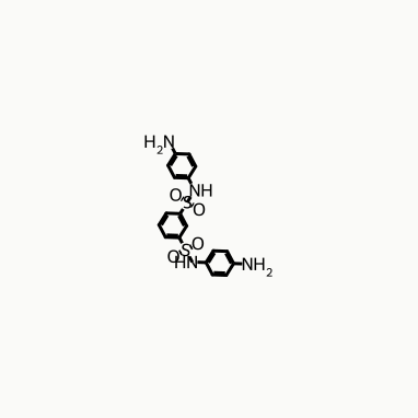 Nc1ccc(NS(=O)(=O)c2cccc(S(=O)(=O)Nc3ccc(N)cc3)c2)cc1